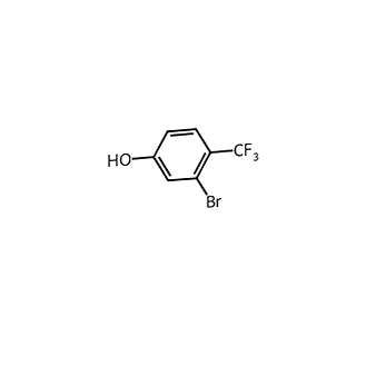 Oc1ccc(C(F)(F)F)c(Br)c1